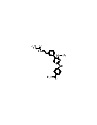 CCCNc1nc(Nc2ccc(C(N)=O)cc2)ncc1-c1cccc(CCNC(=O)CN)c1